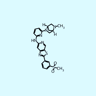 CN1C[C@@H]2C[C@H]1CN2c1cccc(Nc2cc3nc(-c4cccc(S(C)(=O)=O)c4)sc3cn2)n1